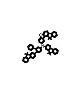 CC1(C)c2ccccc2-c2ccc(-c3ccc(N(c4ccc5c(c4)C(C)(C)c4ccccc4-5)c4ccc5oc6ccc7c(c6c5c4)C(C)(C)c4ccccc4-7)cc3-c3ccccc3)cc21